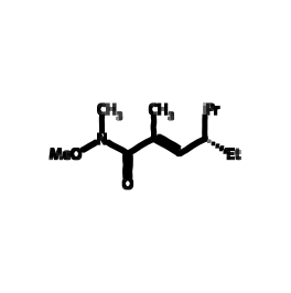 CC[C@H](/C=C(\C)C(=O)N(C)OC)C(C)C